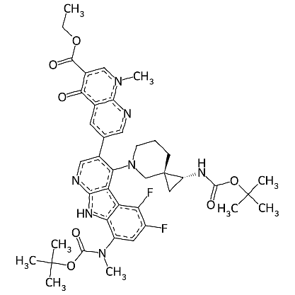 CCOC(=O)c1cn(C)c2ncc(-c3cnc4[nH]c5c(N(C)C(=O)OC(C)(C)C)cc(F)c(F)c5c4c3N3CCC[C@@]4(C[C@H]4NC(=O)OC(C)(C)C)C3)cc2c1=O